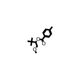 COCC(OC(=O)c1ccc(C)cc1)C(C)(C)C